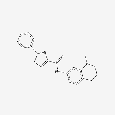 CN1CCCc2ccc(NC(=O)C3=CCC(c4ccccc4)S3)cc21